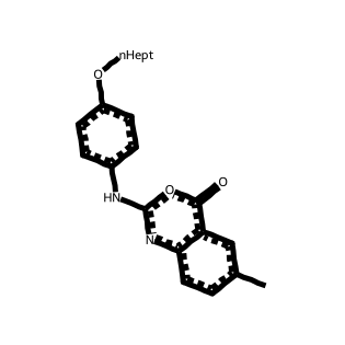 CCCCCCCOc1ccc(Nc2nc3ccc(C)cc3c(=O)o2)cc1